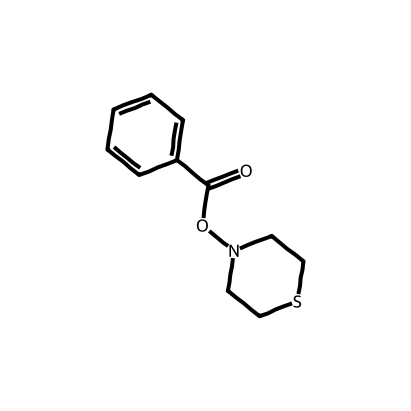 O=C(ON1CCSCC1)c1ccccc1